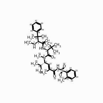 CN[C@H](C(=O)N[C@H](C(=O)N(C)[C@H](C=C(C)C(=O)NS(=O)(=O)c1ccccc1C)C(C)C)C(C)(C)C)C(C)(C)c1ccccc1